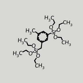 CCO[Si](Cc1cc(C)cc([Si](OCC)(OCC)OCC)c1)(OCC)OCC